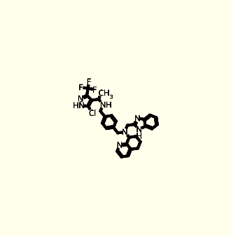 CC(NCc1ccc(CN(Cc2nc3ccccc3[nH]2)C2CCCc3cccnc32)cc1)c1c(C(F)(F)F)n[nH]c1Cl